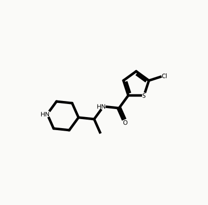 CC(NC(=O)c1ccc(Cl)s1)C1CCNCC1